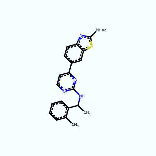 CC(=O)Nc1nc2ccc(-c3ccnc(NC(C)c4ccccc4C)n3)cc2s1